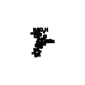 CC(OC(=O)C1C2OC3C1C(=O)N(C(C)(C)C)C3C2OC(=O)c1ccccc1)C(F)(F)S(=O)(=O)O